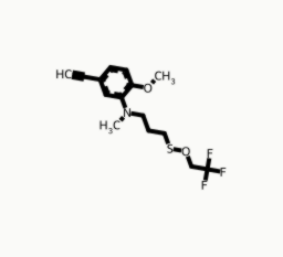 C#Cc1ccc(OC)c(N(C)CCCSOCC(F)(F)F)c1